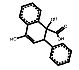 O=C(O)C1(O)c2ccccc2C(O)=CC1c1ccccc1